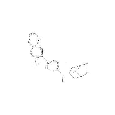 CN(c1ccc(-c2cc3ncccc3cc2O)nn1)[C@H]1CC2CCC(N2)[C@H]1F